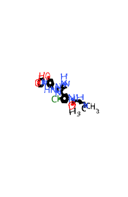 CN(C)C/C=C/C(=O)Nc1ccc(Cl)c(-c2nc(Nc3ccc(O)c(N4CCOCC4)c3)nc3[nH]ncc23)c1